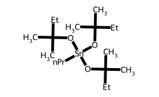 CC[CH2][Sn]([O]C(C)(C)CC)([O]C(C)(C)CC)[O]C(C)(C)CC